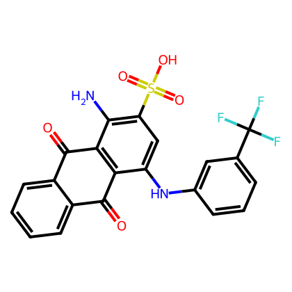 Nc1c(S(=O)(=O)O)cc(Nc2cccc(C(F)(F)F)c2)c2c1C(=O)c1ccccc1C2=O